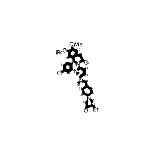 CCN1CN(C2CCC(CN(C)c3ccc(N4C(=O)Cc5cc(OC)c(OC(C)C)cc5[C@@H]4c4ccc(Cl)cc4)nc3)CC2)CC1=O